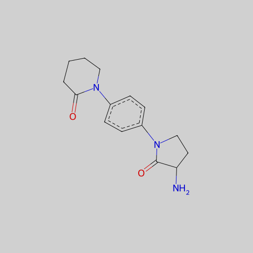 NC1CCN(c2ccc(N3CCCCC3=O)cc2)C1=O